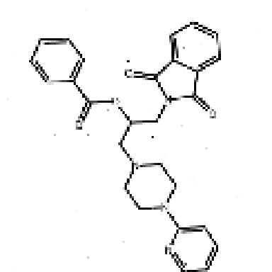 O=C(OC(CN1CCN(c2ccccn2)CC1)CN1C(=O)c2ccccc2C1=O)c1ccccc1